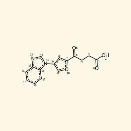 O=C(O)CCC(=O)c1cc(-n2cnc3ccccc32)co1